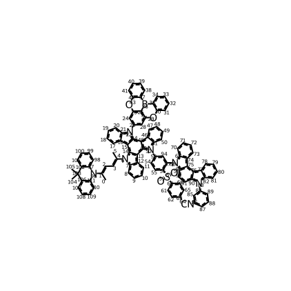 C/C(=C\C=C(/C)n1c2ccccc2c2c1c1c3ccccc3n(-c3cc4c5c(c3)Oc3ccccc3B5c3ccccc3O4)c1c1c3ccccc3n(-c3ccc(S(=O)(=O)c4ccc(C#N)cc4)c(-n4c5ccccc5c5c6c7ccccc7n(-c7ccccc7)c6ccc54)c3)c21)N1c2ccccc2C(C)(C)c2ccccc21